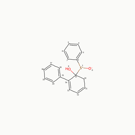 [O-][S+](c1ccccc1)C1(O)CC=CC=C1c1ccccc1